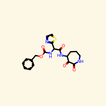 O=C(NC(C(=O)NC1CCCNC(=O)C1=O)c1nccs1)OCc1ccccc1